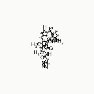 CC(NC(=O)Cn1cnnn1)[C@H]1C(=O)N2C(C(=O)O)=C(S[C@@H]3CN[C@H](C(=O)N4CC[C@@H](N)[C@H]4CO)C3)[C@H](C)[C@H]12